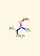 CC(C)[C@@H](C(=O)O)N(C)OC(C)(C)C